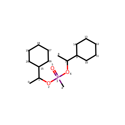 CC(OP(C)(=O)OC(C)C1CCCCC1)C1CCCCC1